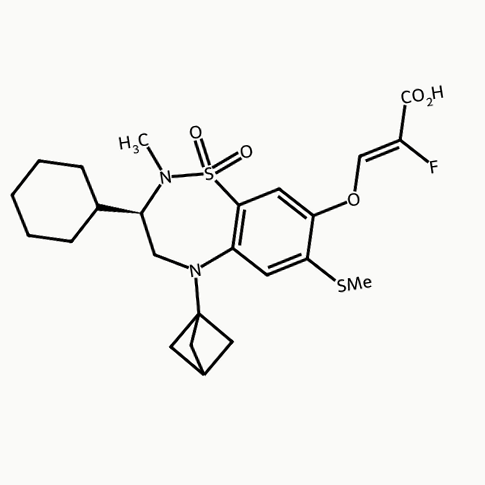 CSc1cc2c(cc1O/C=C(\F)C(=O)O)S(=O)(=O)N(C)[C@H](C1CCCCC1)CN2C12CC(C1)C2